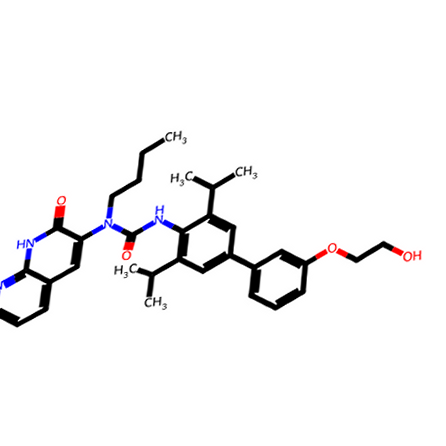 CCCCN(C(=O)Nc1c(C(C)C)cc(-c2cccc(OCCO)c2)cc1C(C)C)c1cc2cccnc2[nH]c1=O